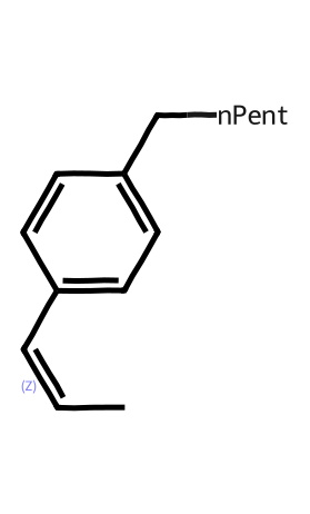 C/C=C\c1ccc(CCCCCC)cc1